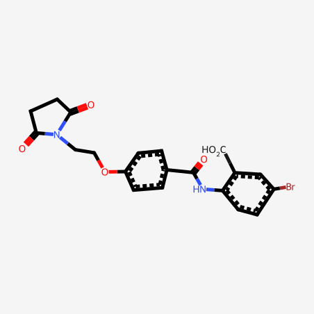 O=C(Nc1ccc(Br)cc1C(=O)O)c1ccc(OCCN2C(=O)CCC2=O)cc1